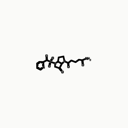 NC(=O)CCCC(=O)N1CCC2C1C(=O)CN2S(=O)(=O)C(=O)c1ccccn1